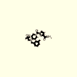 Cc1cccc(CN(CC(C)(C)O)C2CCN(C(=O)n3ccc(C(N)=O)n3)CC2)c1